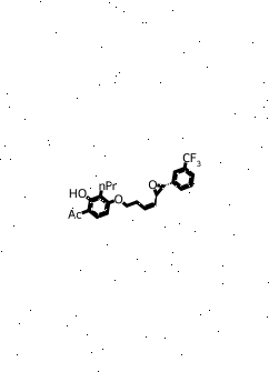 CCCc1c(OCC/C=C\[C@H]2O[C@@H]2c2cccc(C(F)(F)F)c2)ccc(C(C)=O)c1O